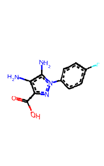 Nc1c(C(=O)O)nn(-c2ccc(F)cc2)c1N